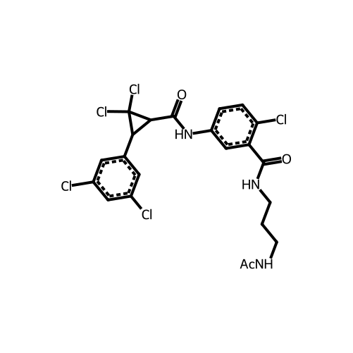 CC(=O)NCCCNC(=O)c1cc(NC(=O)C2C(c3cc(Cl)cc(Cl)c3)C2(Cl)Cl)ccc1Cl